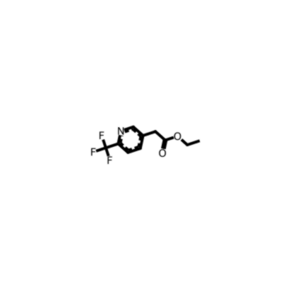 CCOC(=O)Cc1ccc(C(F)(F)F)nc1